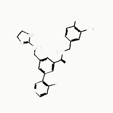 Cc1cc(CNC(=O)c2cc(CNC3=NCCN3)cc(-c3cnccc3C)c2)ccc1Cl